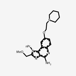 CCCn1c(COC)nc2c(N)nc3ccc(OCCN4CCCCC4)cc3c21